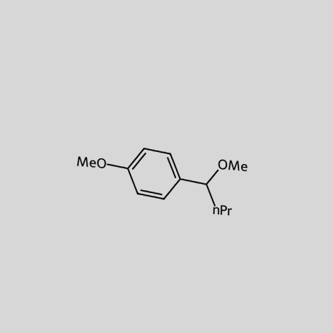 CCCC(OC)c1ccc(OC)cc1